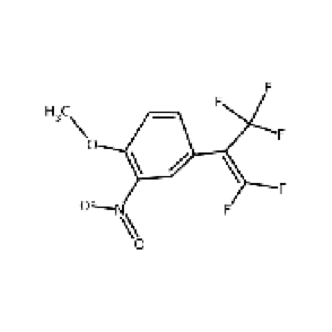 COc1ccc(C(=C(F)F)C(F)(F)F)cc1[N+](=O)[O-]